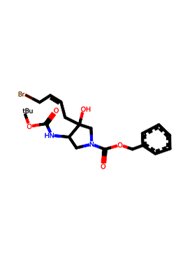 CC(C)(C)OC(=O)NC1CN(C(=O)OCc2ccccc2)CC1(O)C/C=C\CBr